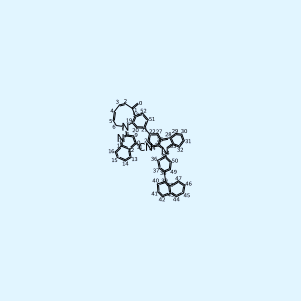 C=C1/C=C\C=C/CN(c2cc(C#N)c3ccccc3n2)c2cc(-c3ccc4c(c3)c3ccccc3n4-c3ccc(-c4cccc5ccccc45)cc3)ccc21